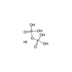 I.O=P(O)(O)OP(=O)(O)O